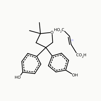 CC1(C)CC(c2ccc(O)cc2)(c2ccc(O)cc2)CO1.O=C(O)/C=C/C(=O)O